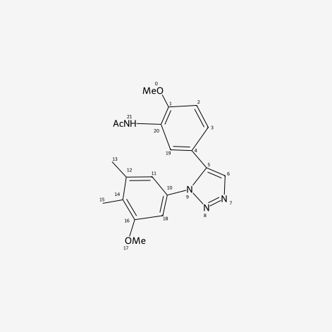 COc1ccc(-c2cnnn2-c2cc(C)c(C)c(OC)c2)cc1NC(C)=O